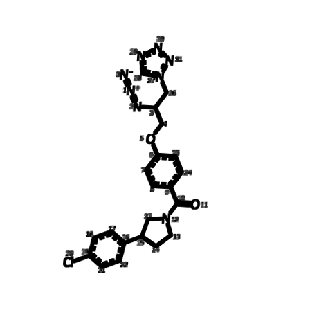 [N-]=[N+]=NC(COc1ccc(C(=O)N2CCC(c3ccc(Cl)cc3)C2)cc1)Cn1cnnn1